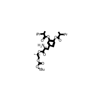 CC(C)C(C)C(=O)Oc1ccc(C[C@H](N)C(=O)O[C@@H](C)COC(=O)OC(C)(C)C)cc1OC(=O)C(C)C(C)C